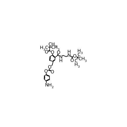 CC(C)(C)OC(=O)NCCNC(=O)c1cc(COC(=O)Oc2ccc(N)cc2)ccc1OC(=O)C(C)(C)C